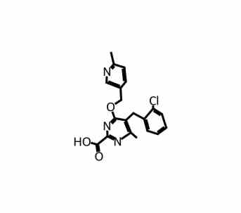 Cc1ccc(COc2nc(C(=O)O)nc(C)c2Cc2ccccc2Cl)cn1